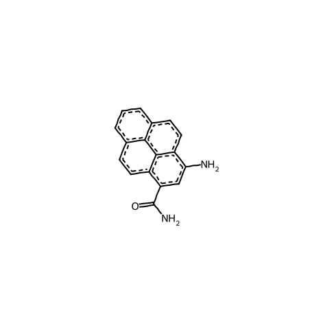 NC(=O)c1cc(N)c2ccc3cccc4ccc1c2c34